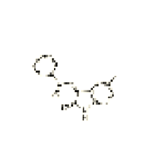 Cc1ccc2c(c1)C(=CC(=O)c1cccnc1)C(=O)N2